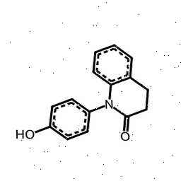 O=C1CCc2ccccc2N1c1ccc(O)cc1